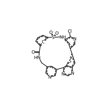 O=C1NCc2cncc(c2)-c2ncnc3cc(sc23)-c2cnc(Cl)c(c2)NS(=O)(=O)c2cccc1c2